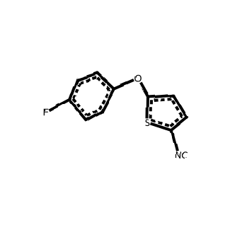 [C-]#[N+]c1ccc(Oc2ccc(F)cc2)s1